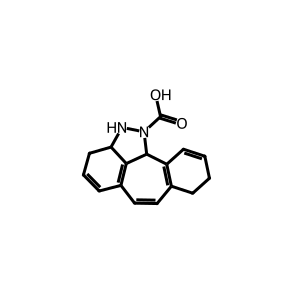 O=C(O)N1NC2CC=CC3=C2C1C1=C(C=C3)CCC=C1